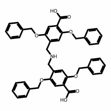 O=C(O)c1cc(OCc2ccccc2)c(CNCc2cc(OCc3ccccc3)c(C(=O)O)cc2OCc2ccccc2)cc1OCc1ccccc1